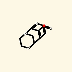 O=Cc1c2ccnc1N1CCOC2C1